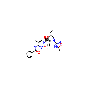 CC[C@@]12CN(c3noc(C)n3)[C@@H]([C@H](n3cc(C)c(NC(=O)c4ccccc4)nc3=O)O1)[C@@H]2O